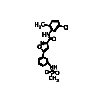 Cc1ccc(Cl)cc1NC(=O)c1cc(-c2cccc(NS(C)(=O)=O)c2)on1